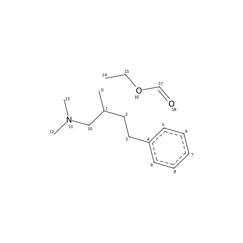 CC(CCc1ccccc1)CN(C)C.CCOC=O